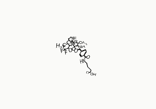 CC(C)C(C(=O)C(F)(F)F)N(C(=O)[C@@H]1CCCN1)C(=O)[C@@H](NC(=O)c1ccc(C(=O)NCCCC(=O)O)cc1)C(C)C